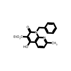 CCOC(=O)c1c(O)c2ccc(C)nc2n(Cc2ccccc2)c1=O